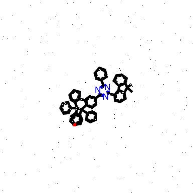 CC1(C)c2ccccc2-c2c(-c3nc(-c4ccccc4)nc(-c4ccc5c(c4)-c4ccccc4C(c4ccccc4)(c4ccccc4)C5(c4ccccc4)c4ccccc4)n3)cccc21